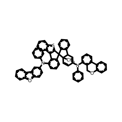 CC12C=CC(N(c3ccccc3)c3cccc4c3COc3ccccc3-4)=CC1c1ccccc1C21c2cccc(N(c3ccccc3)c3ccc4oc5ccccc5c4c3)c2-c2c1sc1ccccc21